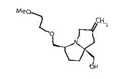 C=C1CN2[C@H](COCCOC)CC[C@@]2(CO)C1